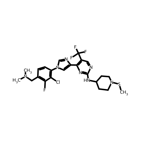 CSN1CCC(Nc2ncc(C(F)(F)F)c(-c3cn(-c4ccc(CN(C)C)c(F)c4Cl)cn3)n2)CC1